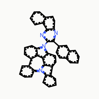 c1ccc2cc(-c3nc4ccc5ccccc5c4nc3-n3c4cccc5c6ccccc6n6c7ccccc7c7ccc3c(c54)c76)ccc2c1